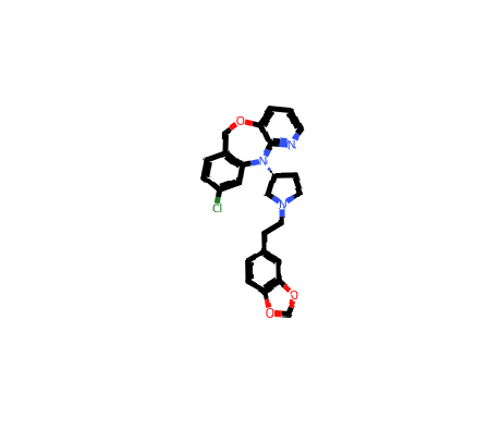 Clc1ccc2c(c1)N([C@@H]1CCN(CCc3ccc4c(c3)OCO4)C1)c1ncccc1OC2